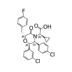 O=C(O)[C@@H](C1CC1)N1C(=O)[C@@H](Cc2ccc(F)cc2)O[C@H](c2cccc(Cl)c2)[C@@H]1c1ccc(Cl)cc1